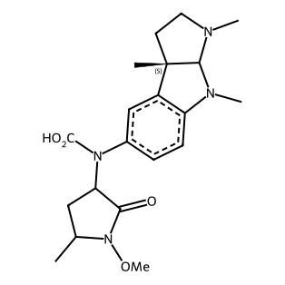 CON1C(=O)C(N(C(=O)O)c2ccc3c(c2)[C@]2(C)CCN(C)C2N3C)CC1C